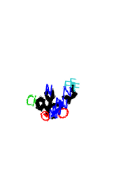 Cn1c(=O)c(-c2ccc(Cl)cc2)c(-c2ccncc2)c2nn(Cc3ccc(C(F)(F)F)nc3)c(=O)n21